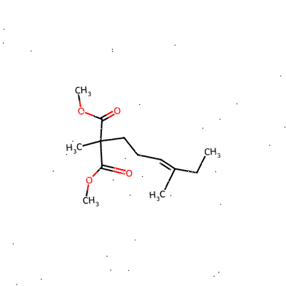 CCC(C)=CCCC(C)(C(=O)OC)C(=O)OC